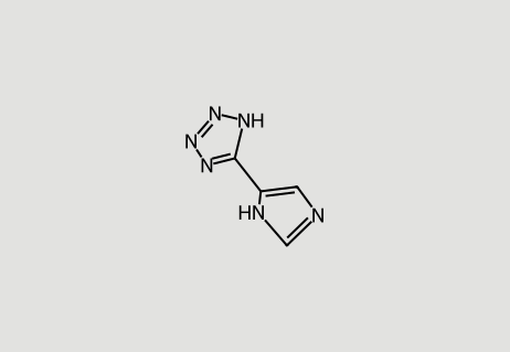 c1ncc(-c2nnn[nH]2)[nH]1